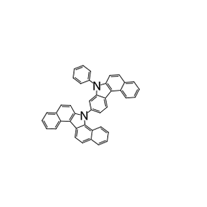 c1ccc(-n2c3cc(-n4c5ccc6ccccc6c5c5ccc6ccccc6c54)ccc3c3c4ccccc4ccc32)cc1